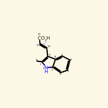 Cc1[nH]c2ccccc2c1/C=C/C(=O)O